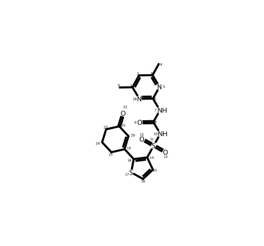 Cc1cc(C)nc(NC(=O)NS(=O)(=O)c2ccsc2C2=CC(=O)CCC2)n1